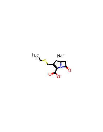 CCSCC1=C(C(=O)[O-])N2C(=O)CC2C1.[Na+]